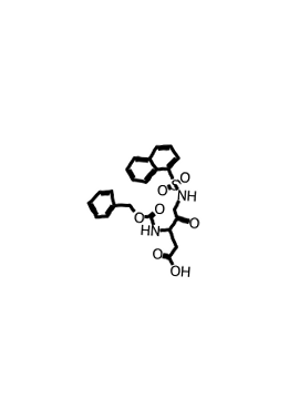 O=C(O)CC(NC(=O)OCc1ccccc1)C(=O)CNS(=O)(=O)c1cccc2ccccc12